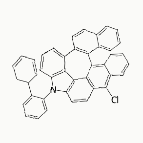 Clc1c2ccccc2c2c3c1ccc1c3c3c(cccc3n1-c1ccccc1C1C=CC=CC1)-c1ccc3ccccc3c1-2